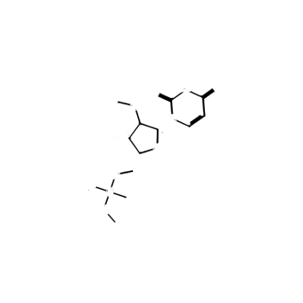 [BH3-][P+](C)(OC)OC[C@H]1O[C@@H](n2ccc(=O)[nH]c2=O)C(OC)[C@H]1C